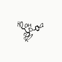 COc1ccc(COC2C3OC(C)(C)OC3O[C@@H]2[C@H](O)CO)cc1